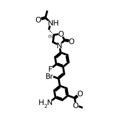 COC(=O)c1cc(N)cc(C(Br)=Cc2ccc(N3C[C@H](CNC(C)=O)OC3=O)cc2F)c1